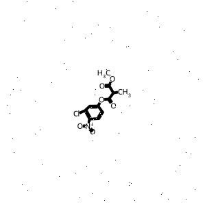 COC(=O)C(C)C(=O)Oc1ccc([N+](=O)[O-])c(Cl)c1